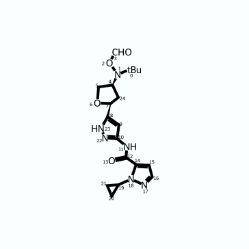 CC(C)(C)N(OC=O)[C@@H]1CO[C@H](c2cc(NC(=O)c3ccnn3C3CC3)n[nH]2)C1